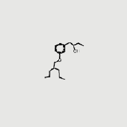 CCCC(CCC)COc1cccc(C[C@H](O)CC)c1